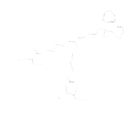 CCCCCCCCC(CCCCCC)C(=O)OCCCCCC(CCCCCOC(=O)CN(C)C(=O)C(CCCCCC)CCCCCCCC)NCCCO[Si](c1ccccc1)(c1ccccc1)C(C)(C)C